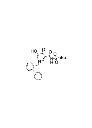 CCCCS(=O)(=O)NC(=O)c1cn(Cc2ccccc2-c2ccccc2)cc(O)c1=O